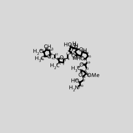 C=C1C[C@H](CC[C@]23C[C@@H](O)[C@H](O2)[C@H]2C[C@@H](O3)[C@H]3O[C@@H](CC(=O)C[C@@H]4[C@@H](OC)[C@@H](C[C@H](O)CN)O[C@H]4C)CC[C@@H]3O2)O[C@H]1CC[C@H]1C[C@@H](C)C(=C)[C@@H](C)O1